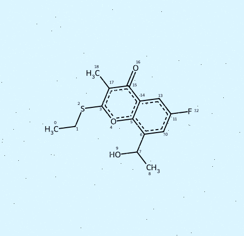 CCSc1oc2c(C(C)O)cc(F)cc2c(=O)c1C